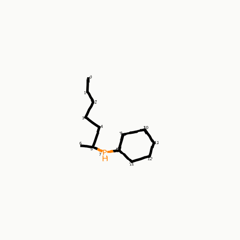 CCCCCC(C)PC1CCCCC1